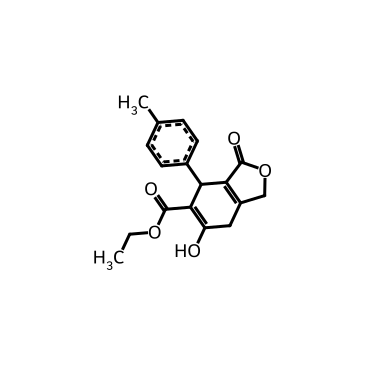 CCOC(=O)C1=C(O)CC2=C(C(=O)OC2)C1c1ccc(C)cc1